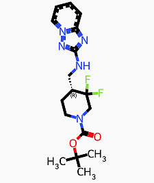 CC(C)(C)OC(=O)N1CC[C@H](CNc2nc3ccccn3n2)C(F)(F)C1